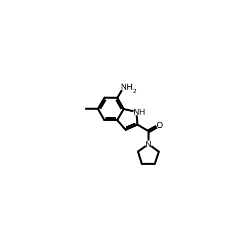 Cc1cc(N)c2[nH]c(C(=O)N3CCCC3)cc2c1